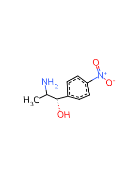 CC(N)[C@@H](O)c1ccc([N+](=O)[O-])cc1